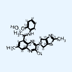 Cc1cc([C@@H](C)Nc2ccccc2C(=O)O)c2nc(N3Cc4nc(C)sc4C3)c(C#N)nc2c1